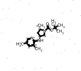 Cc1cnc(N[C@H]2C[C@H](C)N(C(=O)OC(C)(C)C)C2)c(C)c1